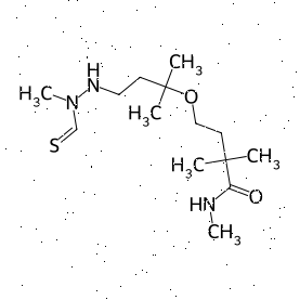 CNC(=O)C(C)(C)CCOC(C)(C)CCNN(C)C=S